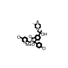 CO[C@]1(c2ccc(Cl)cc2)c2ccc(C(C)(O)CN3CCN(C)[C@@H](C)C3)cc2C(=O)N1Cc1ccc(Cl)cn1